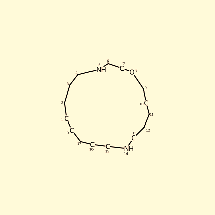 C1CCCCNCCOCCCCCNCCC1